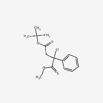 COC(=S)C(Cl)(CC(=O)OC(C)(C)C)c1ccccc1